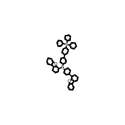 c1ccc([Si](c2ccccc2)(c2ccccc2)c2ccc(-c3ccc(N(c4ccc(-c5cccc6c5oc5ccccc56)cc4)c4cccc5c4oc4ccccc45)cc3)cc2)cc1